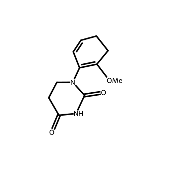 COC1=C(N2CCC(=O)NC2=O)C=CCC1